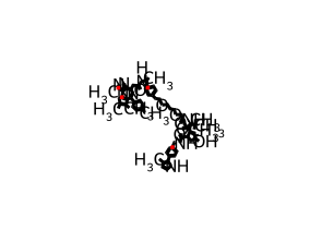 CC1=C(C)C2=C(C1)n1c(C)nnc1C(CC(=O)NC(C)c1ccc(CCOCCCOCC(=O)N[C@H](C(=O)C3CC(O)CC3C(=O)NCc3ccc(-c4[nH]ccc4C)cc3)C(C)(C)C)cc1)N=C2c1ccc(C)cc1